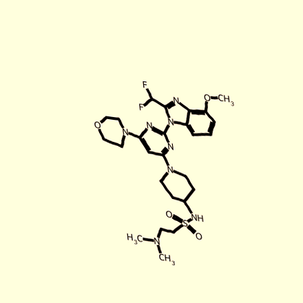 COc1cccc2c1nc(C(F)F)n2-c1nc(N2CCOCC2)cc(N2CCC(NS(=O)(=O)CCN(C)C)CC2)n1